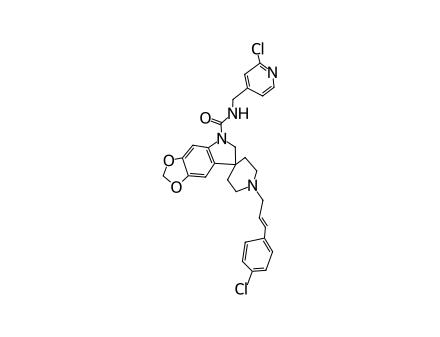 O=C(NCc1ccnc(Cl)c1)N1CC2(CCN(CC=Cc3ccc(Cl)cc3)CC2)c2cc3c(cc21)OCO3